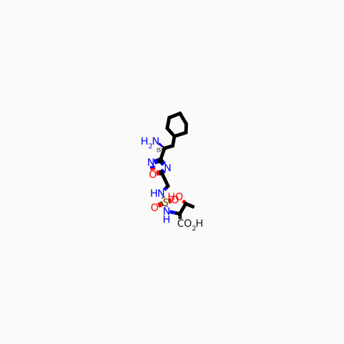 CC(O)C(NS(=O)(=O)NCc1nc([C@@H](N)CC2CCCCC2)no1)C(=O)O